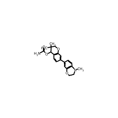 CN1CCOc2cc(-c3ccc4c(c3)OCC(C)(C)C4OC(N)=O)ccc21